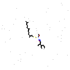 C=CC(=C\C(=O)N[C@@H](CSC/C=C(\C)CC/C=C(\C)CCC=C(C)C)C(=O)N=O)/C(/C=C\C)=C/C